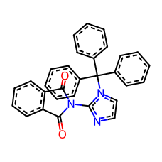 O=C1c2ccccc2C(=O)N1c1nccn1C(c1ccccc1)(c1ccccc1)c1ccccc1